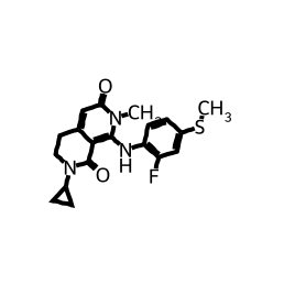 CSc1ccc(Nc2c3c(cc(=O)n2C)CCN(C2CC2)C3=O)c(F)c1